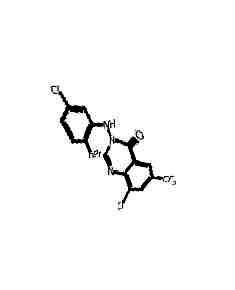 CCCc1ccc(Cl)cc1Nn1cnc2c(Cl)cc(C(F)(F)F)cc2c1=O